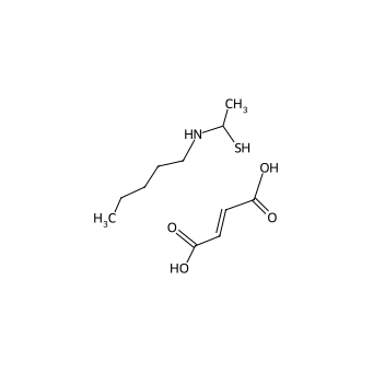 CCCCCNC(C)S.O=C(O)C=CC(=O)O